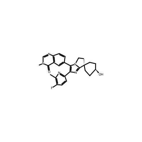 Cc1nc(-c2nc3n(c2-c2ccc4ncn(C)c(=O)c4c2)CC[C@]32CC[C@H](O)CC2)ccc1F